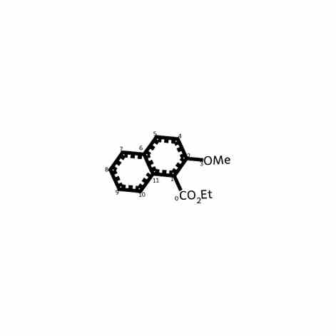 CCOC(=O)c1c(OC)ccc2ccccc12